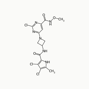 CONC(=O)c1cc(N2CC(NC(=O)c3[nH]c(C)c(Cl)c3Cl)C2)nc(Cl)n1